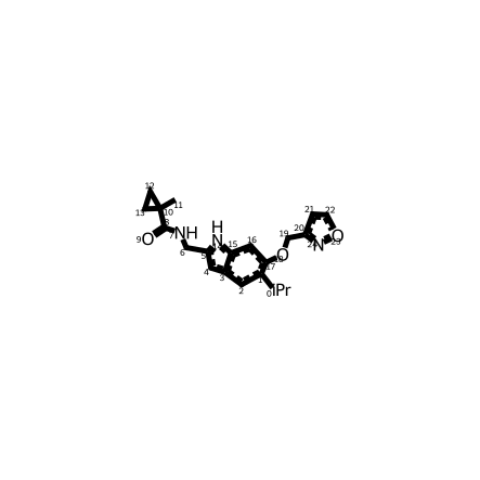 CC(C)c1cc2cc(CNC(=O)C3(C)CC3)[nH]c2cc1OCc1ccon1